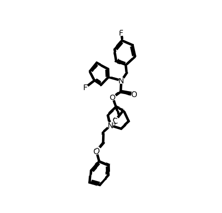 O=C(OC1C[N+]2(CCOc3ccccc3)CCC1CC2)N(Cc1ccc(F)cc1)c1cccc(F)c1